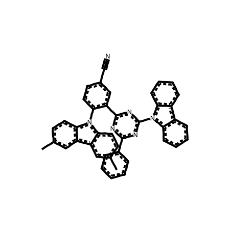 Cc1ccc2c(c1)c1cc(C)ccc1n2-c1ccc(C#N)cc1-c1nc(-c2ccccc2)nc(-n2c3ccccc3c3ccccc32)n1